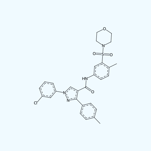 Cc1ccc(-c2nn(-c3cccc(Cl)c3)cc2C(=O)Nc2ccc(C)c(S(=O)(=O)N3CCOCC3)c2)cc1